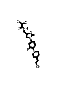 N#CCC=C1CCN(c2ccc(N3CC(CNC(=O)C(Cl)Cl)OC3=O)cc2F)CC1